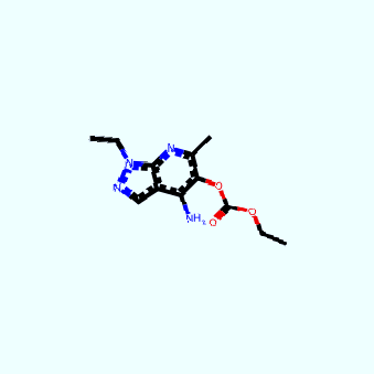 CCOC(=O)Oc1c(C)nc2c(cnn2CC)c1N